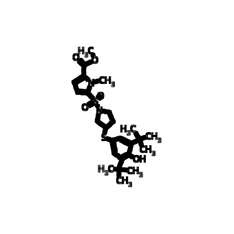 COC(=O)c1ccc(S(=O)(=O)N2CCC(Sc3cc(C(C)(C)C)c(O)c(C(C)(C)C)c3)C2)n1C